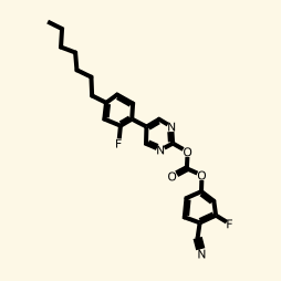 CCCCCCCc1ccc(-c2cnc(OC(=O)Oc3ccc(C#N)c(F)c3)nc2)c(F)c1